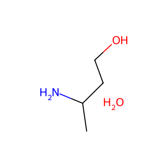 CC(N)CCO.O